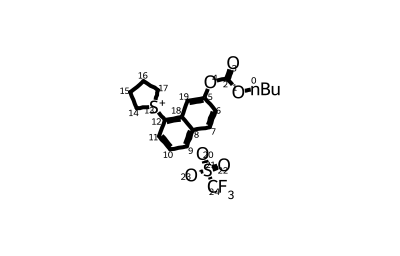 CCCCOC(=O)Oc1ccc2cccc([S+]3CCCC3)c2c1.O=S(=O)([O-])C(F)(F)F